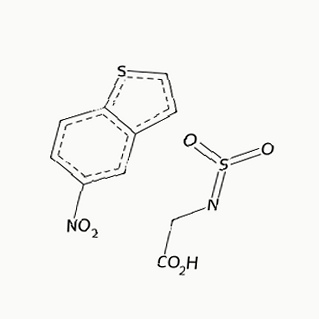 O=C(O)CN=S(=O)=O.O=[N+]([O-])c1ccc2sccc2c1